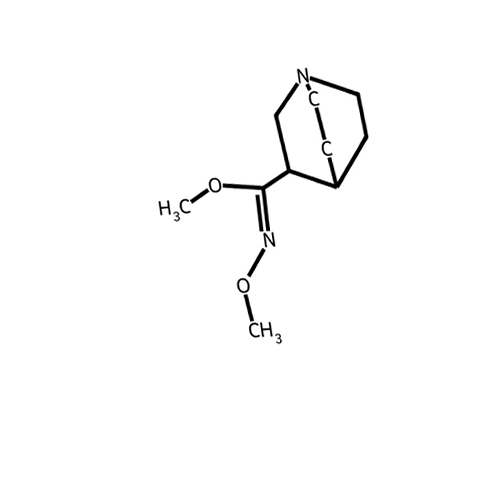 CON=C(OC)C1CN2CCC1CC2